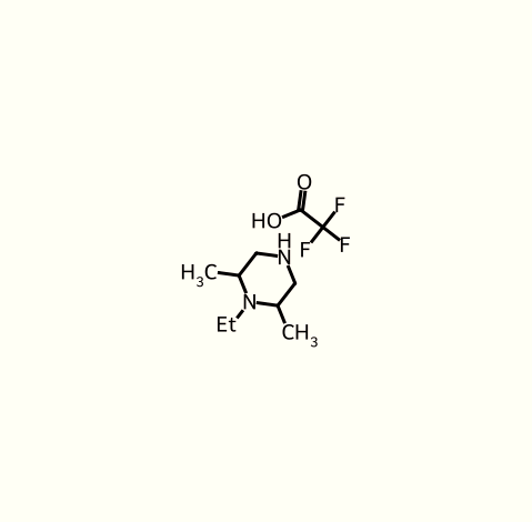 CCN1C(C)CNCC1C.O=C(O)C(F)(F)F